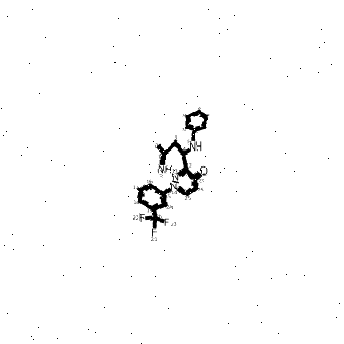 CC(=N)CC(Nc1ccccc1)c1nn(-c2cccc(C(F)(F)F)c2)ccc1=O